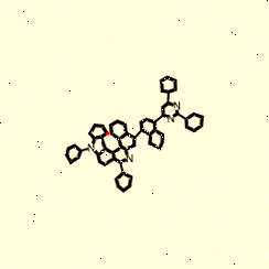 c1ccc(-c2cc(-c3ccc(-c4cc5nc(-c6ccccc6)c6ccc7c(c8ccccc8n7-c7ccccc7)c6c5c5ccccc45)c4ccccc34)nc(-c3ccccc3)n2)cc1